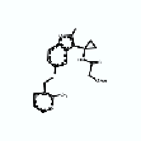 COCC(=O)NC1(c2c(C)oc3ccc(OCc4cccnc4C(F)(F)F)cc23)CC1